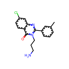 Cc1cccc(-c2nc3cc(Cl)ccc3c(=O)n2CCCN)c1